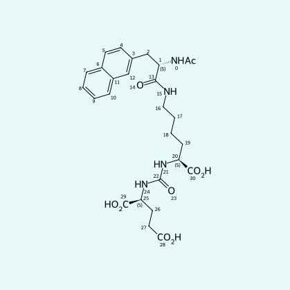 CC(=O)N[C@@H](Cc1ccc2ccccc2c1)C(=O)NCCCC[C@H](NC(=O)N[C@@H](CCC(=O)O)C(=O)O)C(=O)O